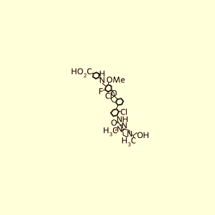 COc1cc(OC2CCc3c(-c4cccc(NC(=O)c5nc6c(n5C)CCN(C(C)CO)C6)c4Cl)cccc32)c(Cl)c(F)c1CNc1ccc(C(=O)O)cc1